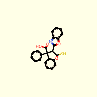 O=C(S)C(c1nc2ccccc2o1)C(C(=O)O)(c1ccccc1)c1ccccc1